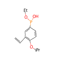 C=Cc1cc(P(O)OCC)ccc1OC(C)C